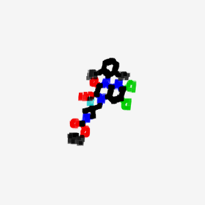 CC(C)c1cccc(C(C)C)c1N1C(=O)C(O)N(CC2(F)CN(C(=O)OC(C)(C)C)C2)c2cc(Cl)c(Cl)nc21